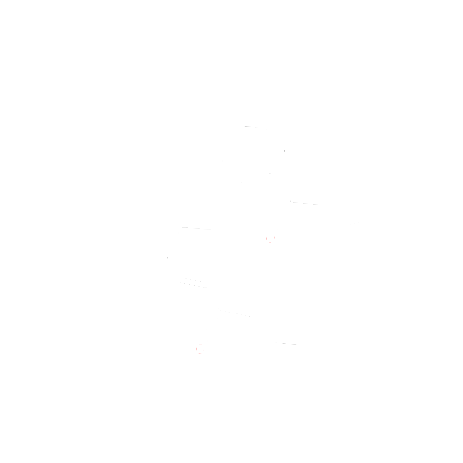 CC=CC(=O)C1=C(C)C(C)(C)CCC1.CC=CC(=O)C1C(C)CCCC1(C)C